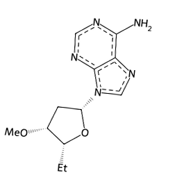 CC[C@H]1O[C@@H](n2cnc3c(N)ncnc32)C[C@H]1OC